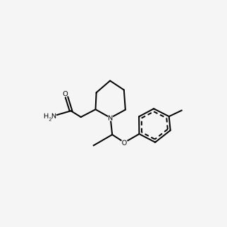 Cc1ccc(OC(C)N2CCCCC2CC(N)=O)cc1